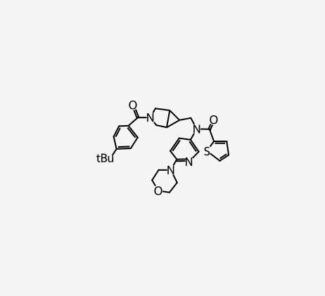 CC(C)(C)c1ccc(C(=O)N2CC3C(C2)C3CN(C(=O)c2cccs2)c2ccc(N3CCOCC3)nc2)cc1